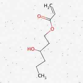 C=CC(=O)OCCC(O)CCC